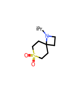 CC(C)N1CCC12CCS(=O)(=O)CC2